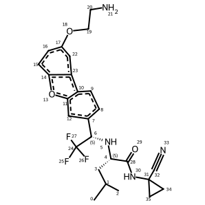 CC(C)C[C@H](N[C@@H](c1ccc2c(c1)oc1ccc(OCCN)cc12)C(F)(F)F)C(=O)NC1(C#N)CC1